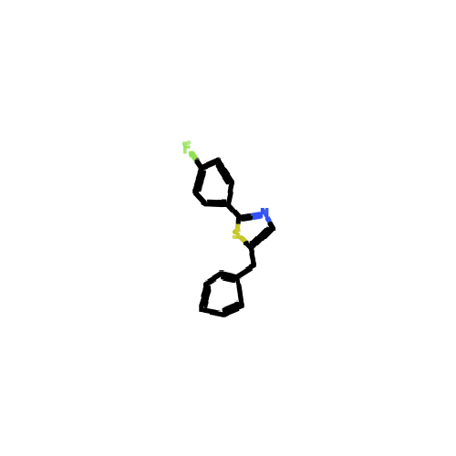 Fc1ccc(-c2ncc(Cc3ccccc3)s2)cc1